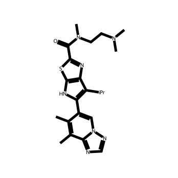 Cc1c(-c2[nH]c3sc(C(=O)N(C)CCN(C)C)nc3c2C(C)C)cn2ncnc2c1C